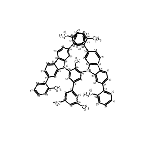 Cc1cc(-c2cc(-n3c4cc(-c5ccccc5C)ccc4c4ccc(-c5ccccc5C)cc43)c(C#N)c(-n3c4cc(-c5ccccc5C)ccc4c4ccc(-c5ccccc5C)cc43)c2)cc(C(F)(F)F)c1